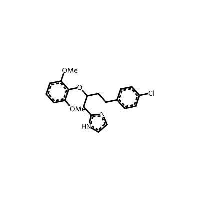 COc1cccc(OC)c1OC(CCc1ccc(Cl)cc1)Cc1ncc[nH]1